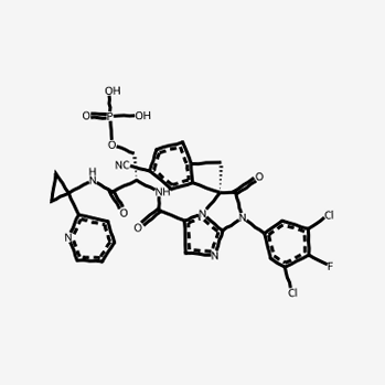 N#Cc1ccc2c(c1)[C@@]1(C2)C(=O)N(c2cc(Cl)c(F)c(Cl)c2)c2ncc(C(=O)N[C@@H](COP(=O)(O)O)C(=O)NC3(c4ccccn4)CC3)n21